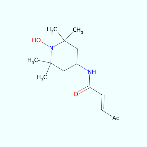 CC(=O)/C=C/C(=O)NC1CC(C)(C)N(O)C(C)(C)C1